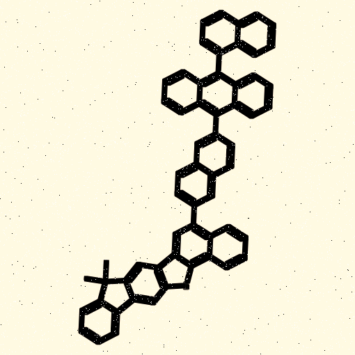 CC1(C)c2ccccc2-c2cc3sc4c5ccccc5c(-c5ccc6cc(-c7c8ccccc8c(-c8cccc9ccccc89)c8ccccc78)ccc6c5)cc4c3cc21